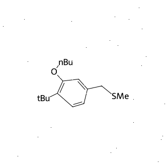 CCCCOc1cc(CSC)ccc1C(C)(C)C